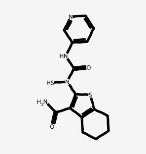 NC(=O)c1c(N(S)C(=O)Nc2cccnc2)sc2c1CCCC2